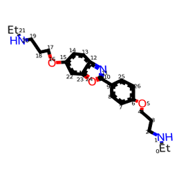 CCNCCCOc1ccc(-c2nc3ccc(OCCCNCC)cc3o2)cc1